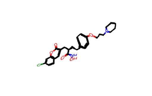 O=C(NO)C(CCc1ccc(OCCCN2CCCCC2)cc1)Cc1cc2ccc(Cl)cc2oc1=O